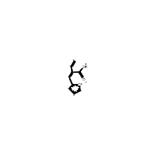 C=CC(=Cc1ccco1)C(=O)O